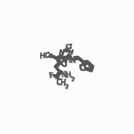 C#Cc1c(C[C@@H](N)[C@H](C)F)oc2c(NCc3ccco3)nc(Cl)nc12